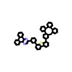 c1cc(-c2cnc3c4ccccc4c4ccccc4c3n2)cc(-c2cccc3c2sc2c(-c4ccc5c(c4)Cc4ccccc4-c4ccccc4-c4ccccc4-5)cccc23)c1